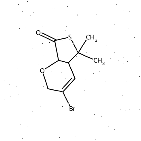 CC1(C)SC(=O)C2OCC(Br)=CC21